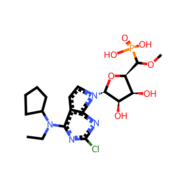 CCN(c1nc(Cl)nc2c1ccn2[C@@H]1O[C@@H](C(OC)P(=O)(O)O)[C@@H](O)[C@H]1O)C1CCCC1